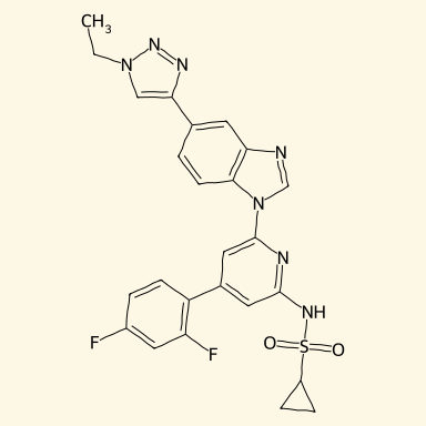 CCn1cc(-c2ccc3c(c2)ncn3-c2cc(-c3ccc(F)cc3F)cc(NS(=O)(=O)C3CC3)n2)nn1